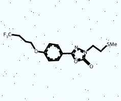 CSCCn1nc(-c2ccc(OCCCC(F)(F)F)cc2)oc1=O